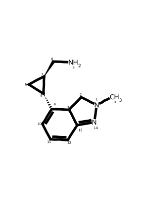 CN1CC2C([C@@H]3C[C@H]3CN)=CC=CC2=N1